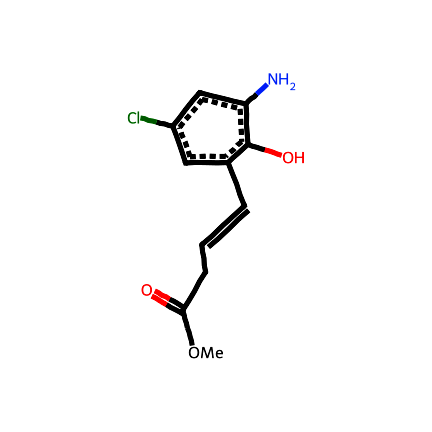 COC(=O)CC=Cc1cc(Cl)cc(N)c1O